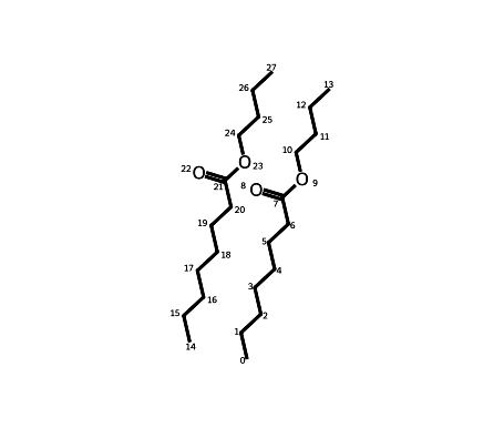 CCCCCCCC(=O)OCCCC.CCCCCCCC(=O)OCCCC